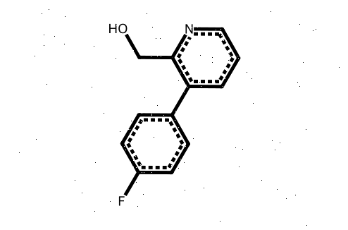 OCc1ncccc1-c1ccc(F)cc1